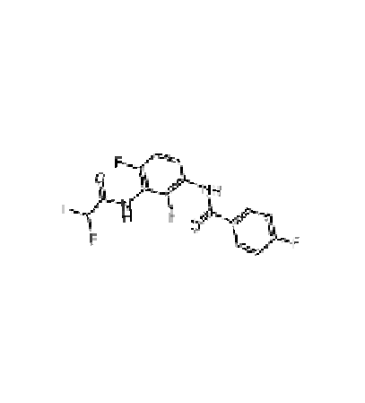 O=C(Nc1ccc(F)c(NC(=O)C(F)F)c1F)c1ccc(F)cc1